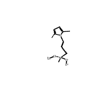 CCO[Si](C)(CCCn1c(C)ccc1C)OCC